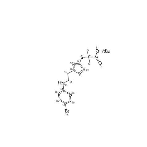 CC(C)(C)OC(=O)C(C)(C)Sc1nc(CCNc2ccc(Br)cn2)cs1